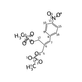 CS(=O)(=O)OCC(=Cc1ccc([N+](=O)[O-])cc1)COS(C)(=O)=O